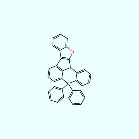 c1ccc([Si]2(c3ccccc3)c3ccccc3B3c4oc5ccccc5c4-c4cccc2c43)cc1